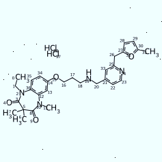 CCN1C(=O)C(C)(C)C(=O)N(C)c2cc(OCCCNCc3ccnc(Cc4ccc(C)o4)c3)ccc21.Cl.Cl